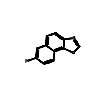 Fc1ccc2c(ccc3ncoc32)c1